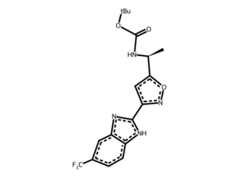 C[C@H](NC(=O)OC(C)(C)C)c1cc(-c2nc3cc(C(F)(F)F)ccc3[nH]2)no1